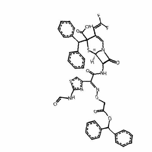 O=CNc1nc(C(=NOCC(=O)OC(c2ccccc2)c2ccccc2)C(=O)NC2C(=O)N3C=C(C=C(F)F)C(C(=O)O)(C(c4ccccc4)c4ccccc4)S[C@H]23)cs1